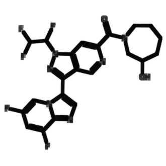 O=C(c1cc2c(cn1)c(-c1cnc3c(F)cc(F)cn13)nn2C(F)C(F)F)N1CCCCC(O)C1